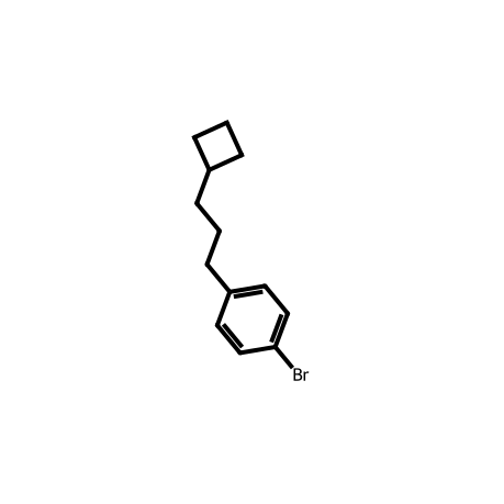 Brc1ccc(CCCC2CCC2)cc1